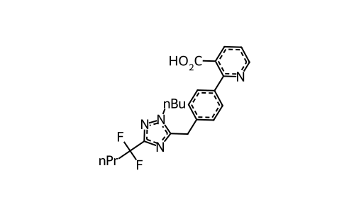 CCCCn1nc(C(F)(F)CCC)nc1Cc1ccc(-c2ncccc2C(=O)O)cc1